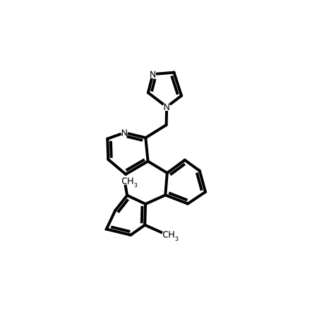 Cc1cccc(C)c1-c1ccccc1-c1cccnc1Cn1ccnc1